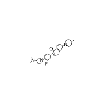 CC1CCN(c2ccc3c(c2)CCN(c2ccc(N4CCC(N(C)C)C4)c(F)c2)C3=O)CC1